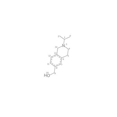 CC(C)N1CCc2cc(CO)ccc2C1